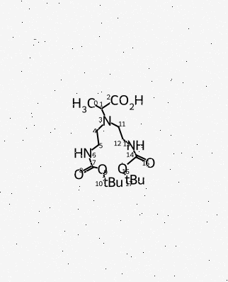 CC(C(=O)O)N(CCNC(=O)OC(C)(C)C)CCNC(=O)OC(C)(C)C